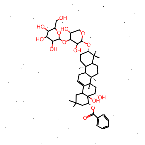 CC1(C)CC2C3=CCC4[C@@]5(C)CC[C@H](OC6OCC(O)C(OC7OC(CO)C(O)C(O)C7O)C6O)C(C)(C)C5CC[C@@]4(C)[C@]3(C)C[C@H](O)C2(O)[C@H](OC(=O)c2ccccc2)C1